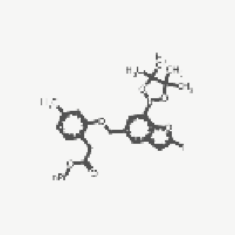 CCCOC(=O)Cc1ccc(C)cc1OCc1cc(B2OC(C)(C)C(C)(C)O2)c2oc(F)cc2c1